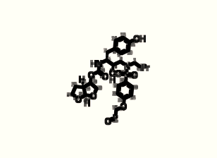 CC(C)CN(C[C@@H](O)[C@H](Cc1ccc(O)cc1)NC(=O)OC1CO[C@H]2OCC[C@@H]12)S(=O)(=O)c1ccc(OCP=O)cc1